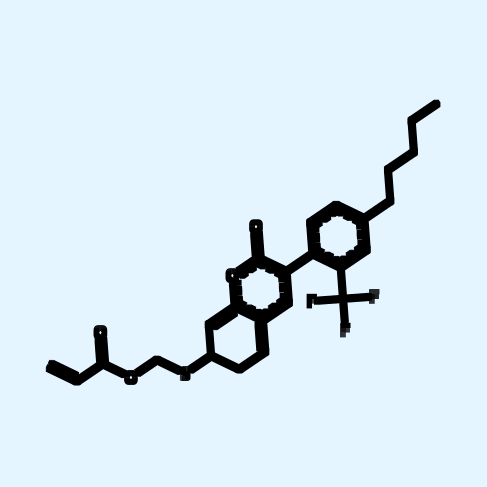 C=CC(=O)OCSC1C=c2oc(=O)c(-c3ccc(CCCCC)cc3C(F)(F)F)cc2=CC1